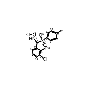 Cc1ccc(S(=O)(=O)C(NC=O)c2cccc(Cl)c2F)cc1